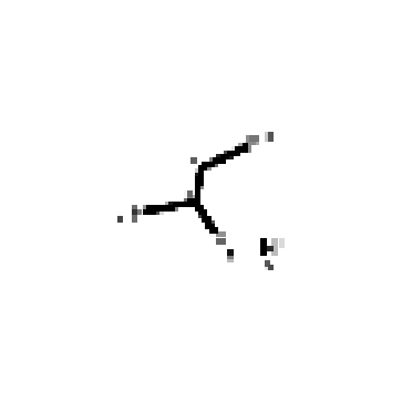 FCC(F)F.[H+]